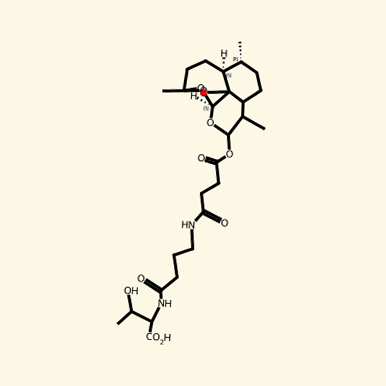 CC(O)C(NC(=O)CCCNC(=O)CCC(=O)OC1O[C@H]2OC3(C)CC[C@H]4[C@H](C)CCC(C1C)C24OO3)C(=O)O